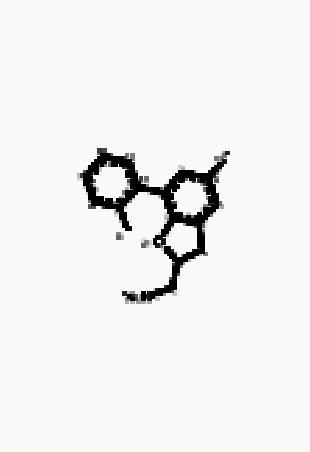 CNCC1Cc2cc(Cl)cc(-c3ccccc3F)c2O1